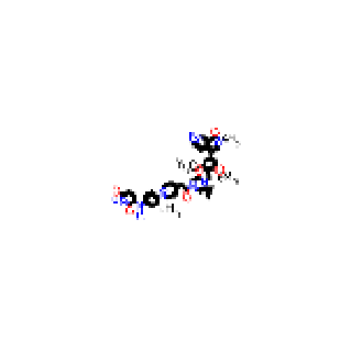 COc1cc(-c2cn(C)c(=O)c3cnccc23)cc(OC)c1CN1CCN(C(=O)CC2CCN(c3ccc(NC4CCC(=O)NC4=O)cc3C)CC2)CC12CC2